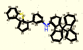 c1cc(Nc2cccc3c2-c2ccccc2C32c3ccccc3-c3ccccc32)cc(-c2cccc3c2sc2ccccc23)c1